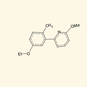 CCOc1ccc(C)c(-c2cccc(OC)n2)c1